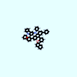 c1ccc(-c2ccc3c(N(c4ccccc4)c4ccc5c(c4)c4ccccc4n5-c4ccccc4)c4cc(-c5ccccc5)ccc4c(-c4cccc5c4oc4ccc6ccccc6c45)c3c2)cc1